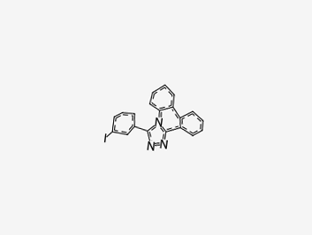 Ic1cccc(-c2nnc3c4ccccc4c4ccccc4n23)c1